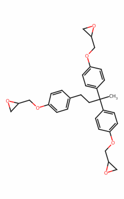 CC(CCc1ccc(OCC2CO2)cc1)(c1ccc(OCC2CO2)cc1)c1ccc(OCC2CO2)cc1